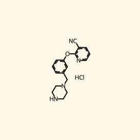 Cl.N#Cc1cccnc1Oc1cccc(CN2CCNCC2)c1